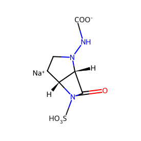 O=C([O-])NN1CC[C@@H]2[C@H]1C(=O)N2S(=O)(=O)O.[Na+]